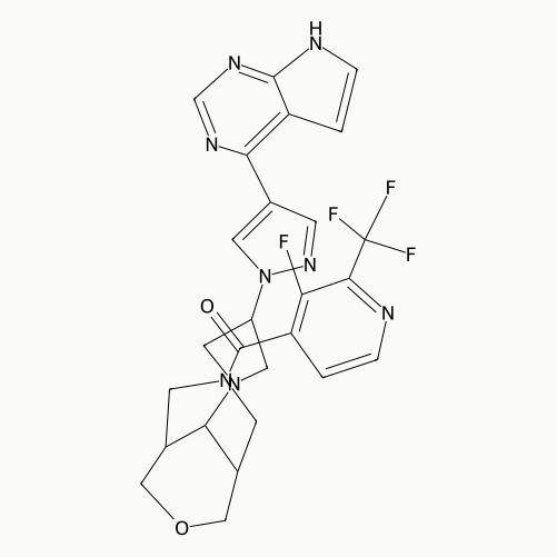 O=C(c1ccnc(C(F)(F)F)c1F)N1CC2COCC(C1)C2N1CC(n2cc(-c3ncnc4[nH]ccc34)cn2)C1